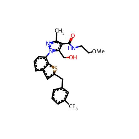 COCCNC(=O)c1c(C)nn(-c2cccc3cc(Cc4cccc(C(F)(F)F)c4)sc23)c1CO